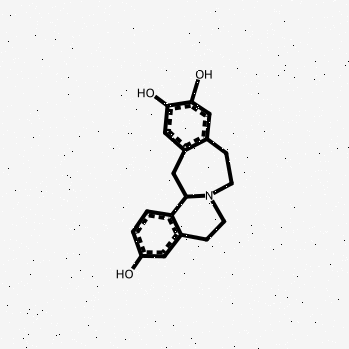 Oc1ccc2c(c1)CCN1CCc3cc(O)c(O)cc3CC21